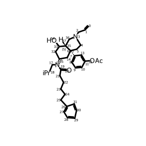 C=CCN1CC[C@@]2(c3cccc(OC(C)=O)c3)C[C@H](N(CC(C)C)C(=O)CCCCCc3ccccc3)CC(O)[C@@H]2C1